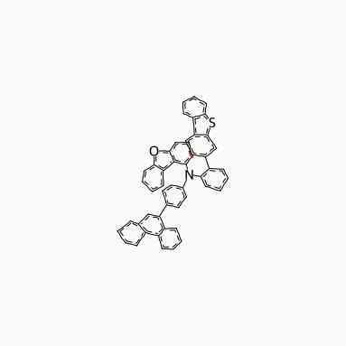 c1ccc(N(c2ccc(-c3cc4ccccc4c4ccccc34)cc2)c2cccc3oc4ccccc4c23)c(-c2ccc3c(c2)sc2ccccc23)c1